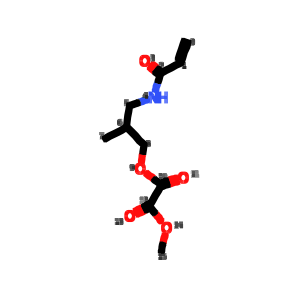 C=CC(=O)NCC(C)COC(=O)C(=O)OC